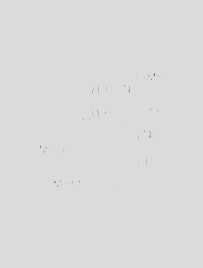 CCCCCCCCCC(C)(C(=O)N(C)OC)C1=C(C)C(=O)C(OC)=C(OC)C1=O